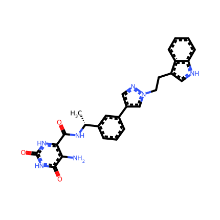 C[C@@H](NC(=O)c1[nH]c(=O)[nH]c(=O)c1N)c1cccc(-c2cnn(CCc3c[nH]c4ccccc34)c2)c1